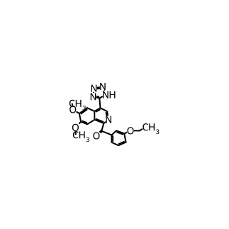 CCOc1cccc(C(=O)c2ncc(-c3nnn[nH]3)c3cc(OC)c(OC)cc23)c1